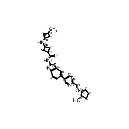 O=C(Nc1nc2ccc(-c3cnc(CO[C@H]4CCC[C@@H]4O)nc3)cc2s1)C1CC(NC23CC(C(F)(F)F)(C2)C3)C1